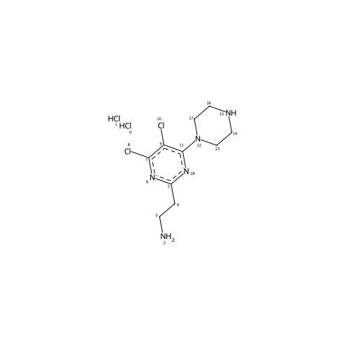 Cl.Cl.NCCc1nc(Cl)c(Cl)c(N2CCNCC2)n1